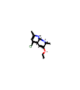 CCOc1cc2c(Cl)cc(C)nc2nc1C